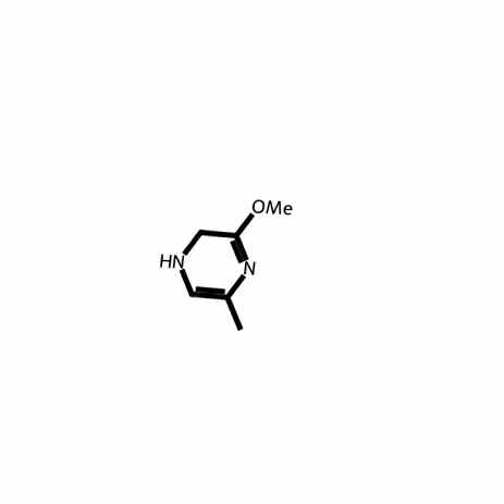 COC1=NC(C)=CNC1